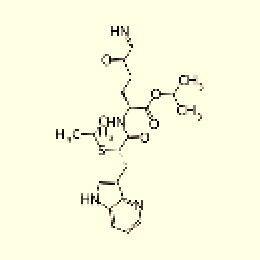 CC(C)OC(=O)[C@H](CCC(=O)C=N)NC(=O)[C@H](Cc1c[nH]c2cccnc12)SC(C)C